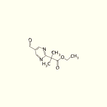 CCOC(=O)C(C)(C)c1ncc(C=O)cn1